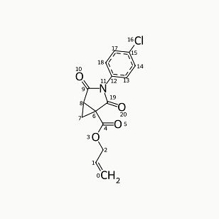 C=CCOC(=O)C12CC1C(=O)N(c1ccc(Cl)cc1)C2=O